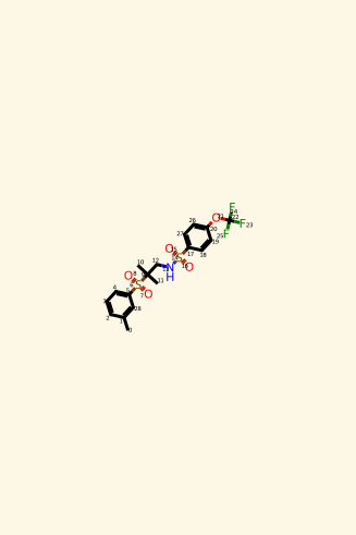 Cc1cccc(S(=O)(=O)C(C)(C)CNS(=O)(=O)c2ccc(OC(F)(F)F)cc2)c1